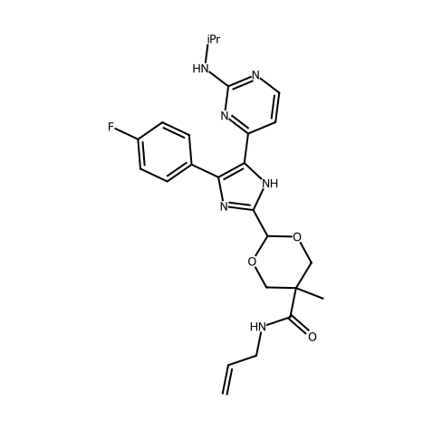 C=CCNC(=O)C1(C)COC(c2nc(-c3ccc(F)cc3)c(-c3ccnc(NC(C)C)n3)[nH]2)OC1